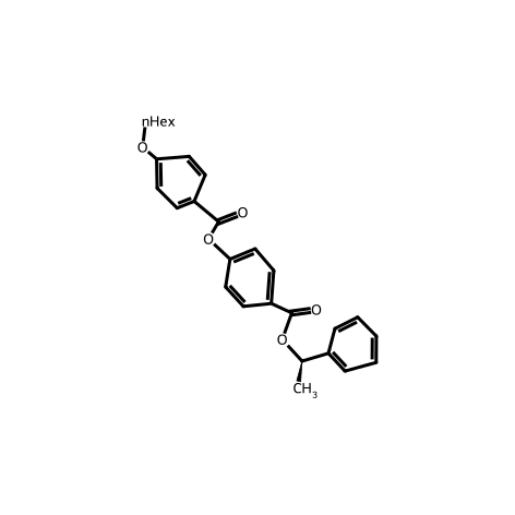 CCCCCCOc1ccc(C(=O)Oc2ccc(C(=O)O[C@H](C)c3ccccc3)cc2)cc1